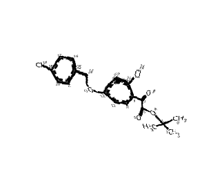 CC(C)(C)OC(=O)C(=O)c1ccc(OCc2ccc(Cl)cc2)cc1Cl